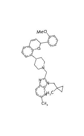 COc1ccccc1C1C=Cc2cccc(C3CCN(Cc4nc5ccc(C)nc5n4CC4(C)CC4)CC3)c2O1